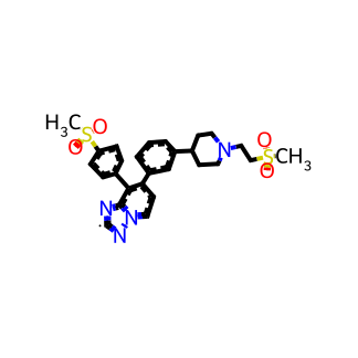 CS(=O)(=O)CCN1CCC(c2cccc(-c3ccn4n[c]nc4c3-c3ccc(S(C)(=O)=O)cc3)c2)CC1